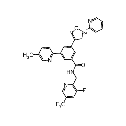 Cc1ccc(-c2cc(C(=O)NCc3ncc(C(F)(F)F)cc3F)cc(C3=NO[C@H](c4ccccn4)C3)c2)nc1